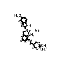 Cc1ccc2[nH]c([S+]([O-])Cc3nccc(OCC4COC(C)(C)OC4)c3C)nc2c1.[Na]